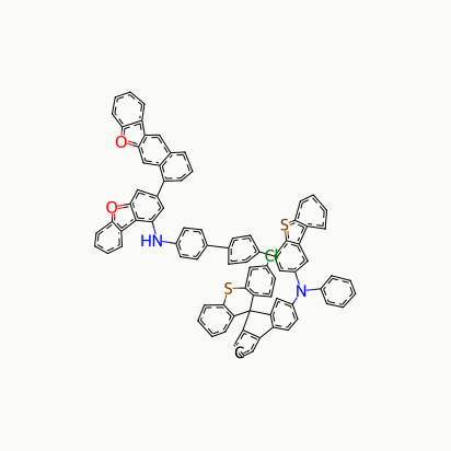 Clc1ccc2c(c1)Sc1ccccc1C21c2ccccc2-c2ccc(N(c3ccccc3)c3cc(-c4ccc(-c5ccc(Nc6cc(-c7cccc8cc9c(cc78)oc7ccccc79)cc7oc8ccccc8c67)cc5)cc4)c4sc5ccccc5c4c3)cc21